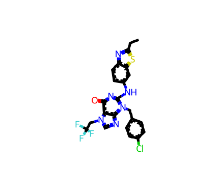 CCc1nc2ccc(Nc3nc(=O)c4c(ncn4CC(F)(F)F)n3Cc3ccc(Cl)cc3)cc2s1